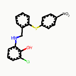 O=[N+]([O-])c1ccc(Sc2ccccc2CNc2cccc(Cl)c2O)cc1